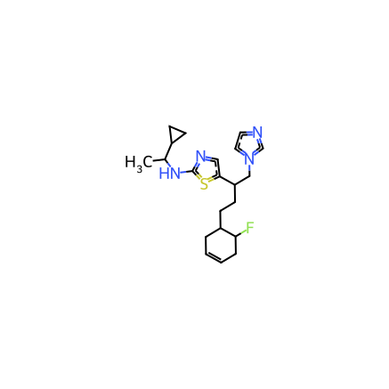 CC(Nc1ncc(C(CCC2CC=CCC2F)Cn2ccnc2)s1)C1CC1